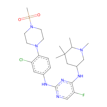 CC1N(C)CC(Nc2nc(Nc3ccc(N4CCN(S(C)(=O)=O)CC4)c(Cl)c3)ncc2F)CC1(C)C